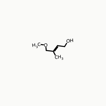 COCC(C)=CCO